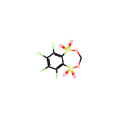 O=S1(=O)OCOS(=O)(=O)c2c(F)c(F)c(F)c(F)c21